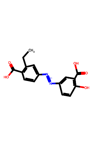 CCc1cc(/N=N/c2ccc(O)c(C(=O)O)c2)ccc1C(=O)O